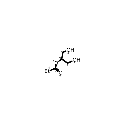 CCC(=O)OC(CO)CO